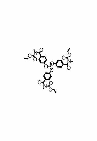 CCOC(=O)N(C)C(=O)c1ccc(OP(Oc2ccc(C(=O)N(C)C(=O)OCC)cc2)Oc2ccc(C(=O)N(C)C(=O)OCC)cc2)cc1